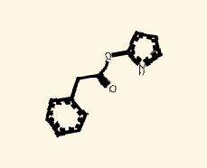 O=C(Cc1ccccc1)Oc1ccc[nH]1